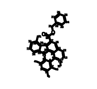 Cc1cc(C)c2c(c1C)c1c3c(cc[n+]1C)cc(C(=O)OCc1ccccc1)c1c4c(C)cccc4n2c13